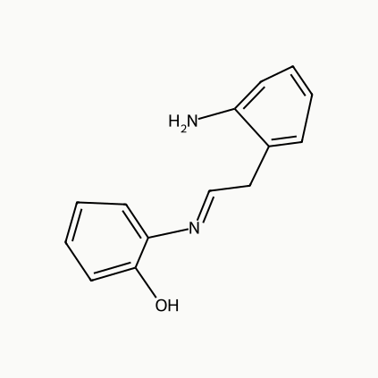 Nc1ccccc1CC=Nc1ccccc1O